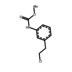 CC(C)(C)OC(=O)Nc1cccc(CCCl)c1